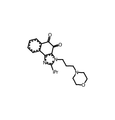 CC(C)c1nc2c(n1CCCN1CCOCC1)C(=O)C(=O)c1ccccc1-2